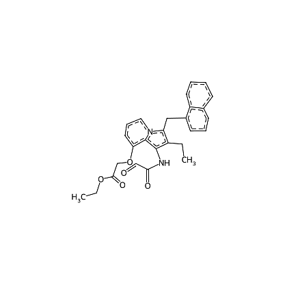 CCOC(=O)COc1cccn2c(Cc3cccc4ccccc34)c(CC)c(NC(=O)C=O)c12